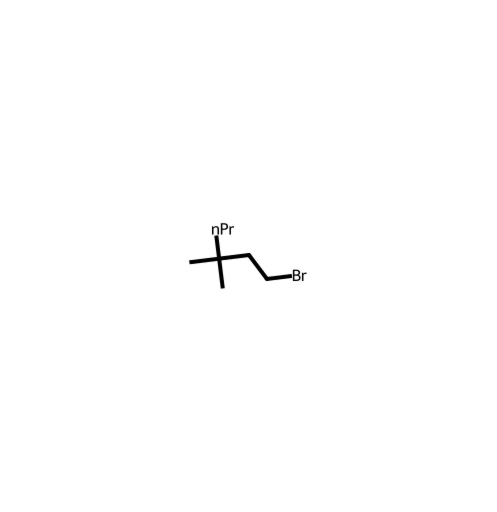 CCCC(C)(C)CCBr